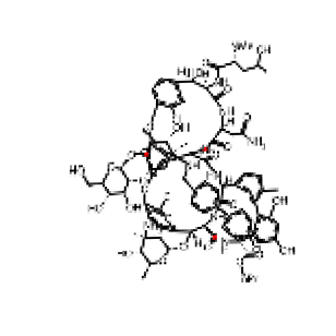 CCCOC(=O)[C@@H]1NC(=O)[C@H]2NC(=O)[C@H](NC(=O)[C@@H]3NC(=O)[C@H](CC(N)=O)NC(=O)[C@H](NC(=O)[C@@H](CC(C)O)NC)[C@H](O)c4ccc(c(Cl)c4)Oc4cc3cc(c4O[C@@H]3O[C@H](CO)[C@@H](O)[C@H](O)[C@H]3O[C@H]3C[C@](C)(NCc4ccc(-c5ccc(Cl)cc5)cc4)[C@@H](O)[C@H](C)O3)Oc3ccc(cc3Cl)[C@H]2O[C@H]2C[C@](C)(N)[C@@H](O)[C@H](C)O2)c2ccc(C)c(c2)-c2c(O)cc(O)cc21